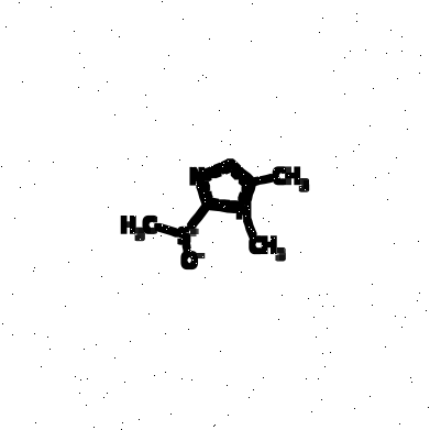 Cc1cnc([S+](C)[O-])n1C